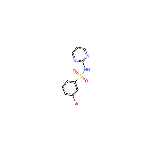 O=S(=O)(Nc1ncccn1)c1cccc(Br)c1